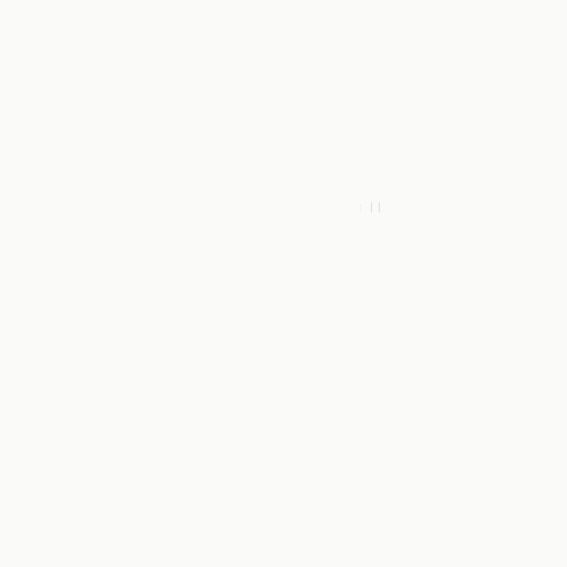 CCCCc1cccc2c1CCC2